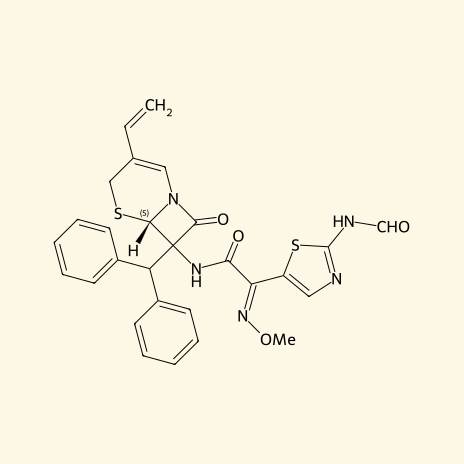 C=CC1=CN2C(=O)C(NC(=O)C(=NOC)c3cnc(NC=O)s3)(C(c3ccccc3)c3ccccc3)[C@@H]2SC1